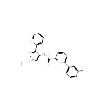 Cc1cccc(-c2cccc(C(=O)Nc3cn(C)nc3-c3ccccn3)n2)c1